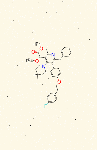 Cc1nc(CC2=CCCCC2)c(-c2ccc(OCCc3ccc(F)cc3)cc2)c(N2CCC(C)(C)CC2)c1C(OC(C)(C)C)C(=O)OC(C)C